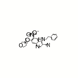 N#Cc1cnc2cc(O[C@@H]3CCOC3)c([N+](=O)[O-])cc2c1NCCc1ccccc1